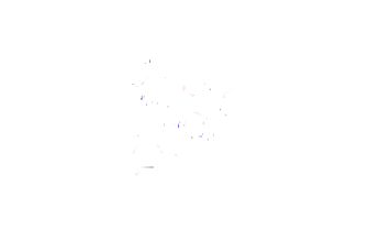 Cn1c(=O)[nH]c(=O)c2c1nc(Oc1ccccc1)n2Cc1ccc(Cl)cn1